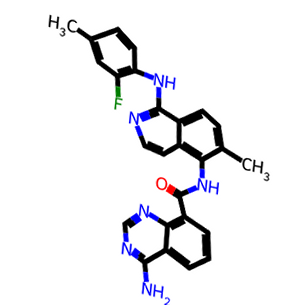 Cc1ccc(Nc2nccc3c(NC(=O)c4cccc5c(N)ncnc45)c(C)ccc23)c(F)c1